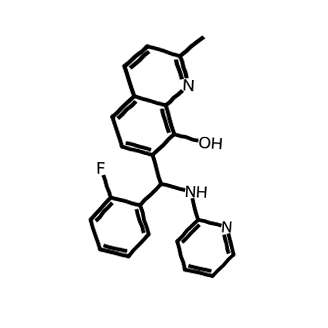 Cc1ccc2ccc(C(Nc3ccccn3)c3ccccc3F)c(O)c2n1